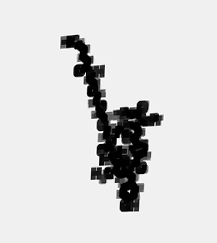 C#CCCCC(=O)NCCOCCOCCOCCOC(=O)NNC(=O)[C@@H](C)CC(Cc1ccc(O)cc1)NC(=O)c1csc(C(CC(C(C)C)N(CCC)C(=O)CCCC)OCCC)n1